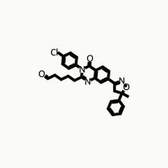 CC1(c2ccccc2)CC(c2ccc3c(=O)n(-c4ccc(Cl)cc4)c(CCCCC=O)nc3c2)=NO1